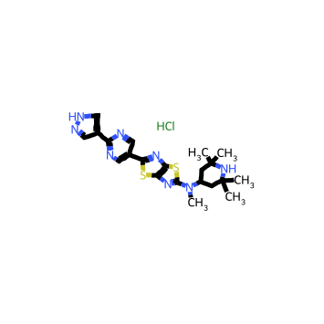 CN(c1nc2sc(-c3cnc(-c4cn[nH]c4)nc3)nc2s1)C1CC(C)(C)NC(C)(C)C1.Cl